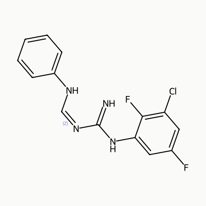 N=C(/N=C\Nc1ccccc1)Nc1cc(F)cc(Cl)c1F